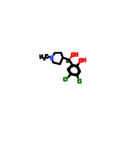 CN1CCC([C@H](O)c2cc(Cl)c(Cl)cc2O)CC1